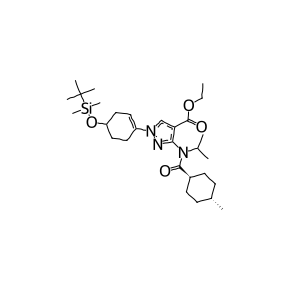 CCOC(=O)c1cn(C2=CCC(O[Si](C)(C)C(C)(C)C)CC2)nc1N(C(=O)[C@H]1CC[C@H](C)CC1)C(C)C